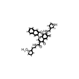 CN1CCCC1CCNC(=O)c1cn2c3c(c(NCC4CCNC4)c(F)cc3c1=O)Oc1cc3ccccc3cc1-2